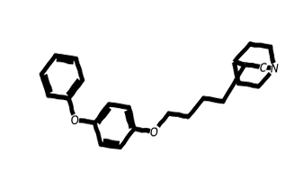 c1ccc(Oc2ccc(OCCCCC3CN4CCC3CC4)cc2)cc1